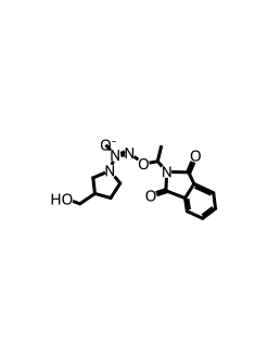 CC(O/N=[N+](/[O-])N1CCC(CO)C1)N1C(=O)c2ccccc2C1=O